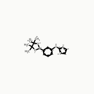 CC1(C)OB(c2cccc(Oc3nccs3)c2)OC1(C)C